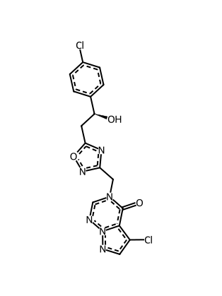 O=c1c2c(Cl)cnn2ncn1Cc1noc(C[C@H](O)c2ccc(Cl)cc2)n1